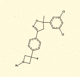 CC(=O)N1CC(F)(c2ccc(C3=NOC(C)(c4cc(Cl)cc(Cl)c4)C3)cc2)C1